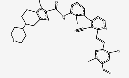 Cc1cc(/C=C/c2nccc(-c3cccc(NC(=O)c4nc5c(n4C)CCN(C4CCOCC4)C5)c3C)c2C#N)c(Cl)cc1C=O